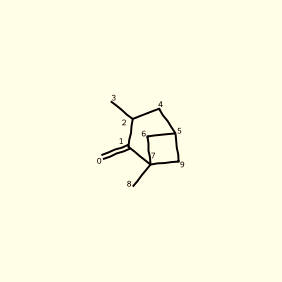 C=C1C(C)CC2CC1(C)C2